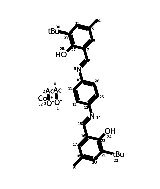 CC(=O)[O-].CC(=O)[O-].Cc1cc(C=Nc2ccc(N=Cc3cc(C)cc(C(C)(C)C)c3O)cc2)c(O)c(C(C)(C)C)c1.[Co+2]